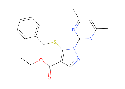 CCOC(=O)c1cnn(-c2nc(C)cc(C)n2)c1SCc1ccccc1